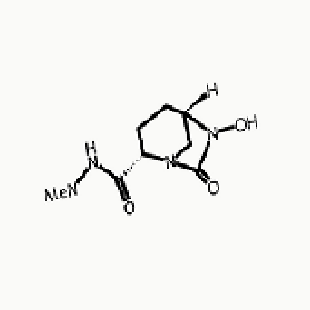 CNNC(=O)[C@@H]1CC[C@H]2CN1C(=O)N2O